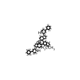 CC1(C)C=Cc2cc3c(cc21)C1=C(OC2=C3C3CCN(C4C=C(c5ccccc5)C=CN4)C3C=C2)C2(C)CCN(C3C=C(c4ccccc4)C=CN3)C2C=C1